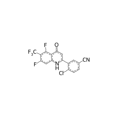 N#Cc1ccc(Cl)c(-c2cc(=O)c3c(F)c(C(F)(F)F)c(F)cc3[nH]2)c1